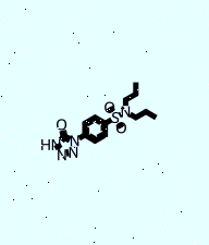 CCCN(CCC)S(=O)(=O)c1ccc(-n2nn[nH]c2=O)cc1